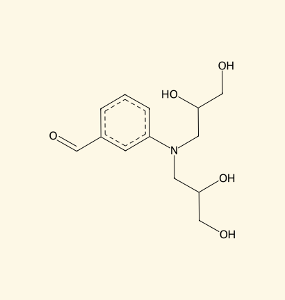 O=Cc1cccc(N(CC(O)CO)CC(O)CO)c1